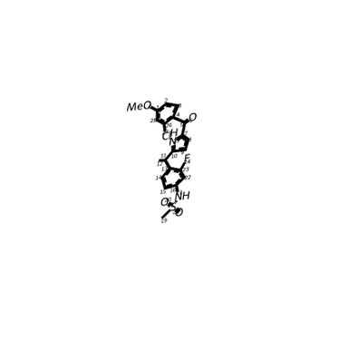 COc1ccc(C(=O)c2ccc(C(C)c3ccc(NS(C)(=O)=O)cc3F)[nH]2)c(Cl)c1